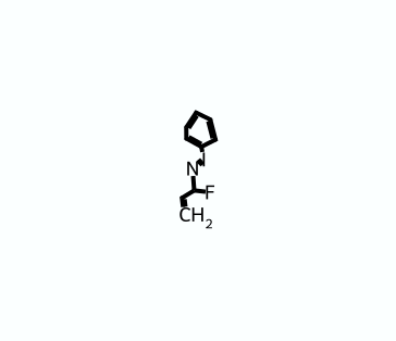 C=CC(F)/N=I/c1ccccc1